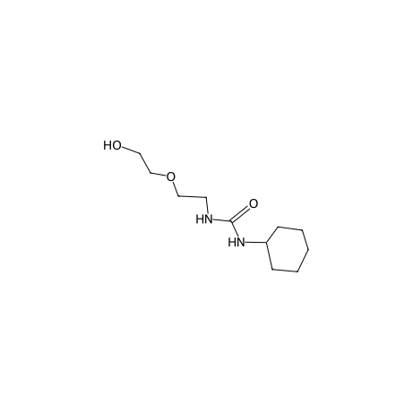 O=C(NCCOCCO)NC1CCCCC1